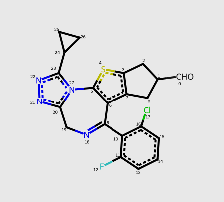 O=CC1Cc2sc3c(c2C1)C(c1c(F)cccc1Cl)=NCc1nnc(C2CC2)n1-3